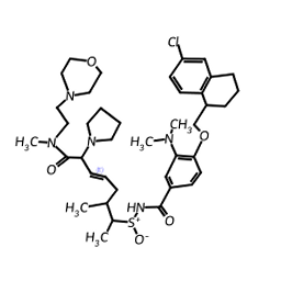 CC(C/C=C/C(C(=O)N(C)CCN1CCOCC1)N1CCCC1)C(C)[S+]([O-])NC(=O)c1ccc(OCC2CCCc3cc(Cl)ccc32)c(N(C)C)c1